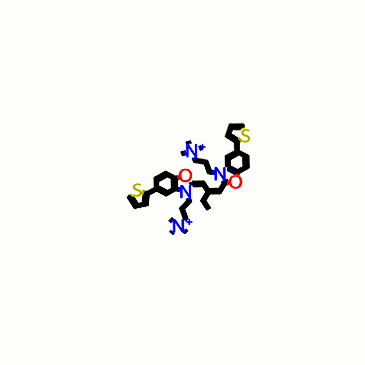 CCC(=Cc1oc2ccc(-c3cccs3)cc2[n+]1CCC[N+](C)(C)C)C=C1Oc2ccc(-c3cccs3)cc2N1CCC[N+](C)(C)C